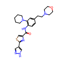 O=C(Nc1ccc(CCN2CCOCC2)cc1N1CCCCC1)c1csc(-c2cn[nH]c2)n1